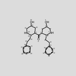 O=C(C1CC(O)CNN1CCc1ccccc1)C1CC(O)CNN1CCc1ccccc1